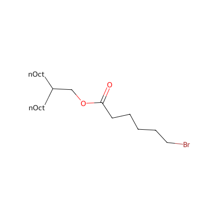 CCCCCCCCC(CCCCCCCC)COC(=O)CCCCCBr